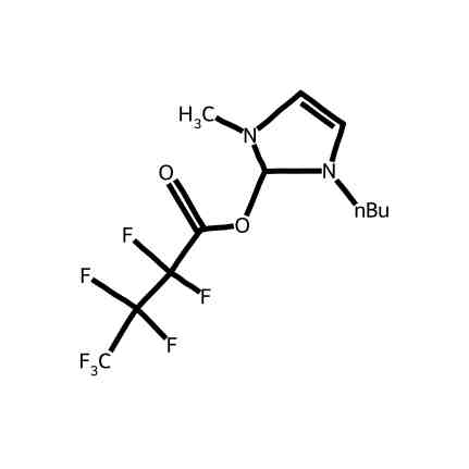 CCCCN1C=CN(C)C1OC(=O)C(F)(F)C(F)(F)C(F)(F)F